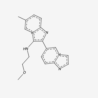 COCCNc1c(-c2ccc3nccn3c2)nc2ccc(C)cn12